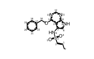 CC=CS(=O)(=O)Nc1c[nH]c2ncnc(OCc3ccccc3)c12